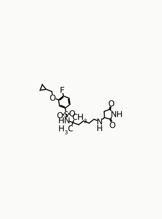 CC(C)(CCCCNC1CC(=O)NC1=O)NS(=O)(=O)c1ccc(F)c(OCC2CC2)c1